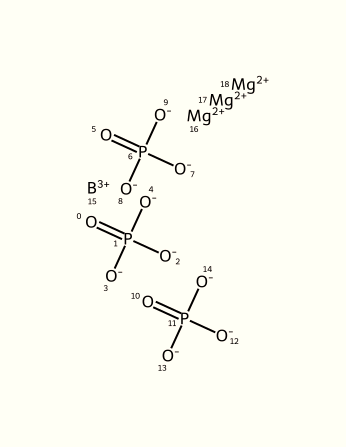 O=P([O-])([O-])[O-].O=P([O-])([O-])[O-].O=P([O-])([O-])[O-].[B+3].[Mg+2].[Mg+2].[Mg+2]